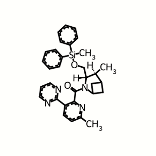 Cc1ccc(-c2ncccn2)c(C(=O)N2C3CC(C3)[C@H](C)[C@H]2CO[Si](C)(c2ccccc2)c2ccccc2)n1